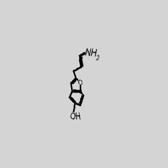 NC=CCc1cc2cc(O)ccc2o1